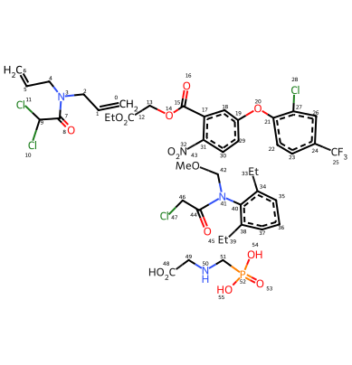 C=CCN(CC=C)C(=O)C(Cl)Cl.CCOC(=O)COC(=O)c1cc(Oc2ccc(C(F)(F)F)cc2Cl)ccc1[N+](=O)[O-].CCc1cccc(CC)c1N(COC)C(=O)CCl.O=C(O)CNCP(=O)(O)O